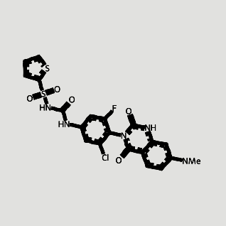 CNc1ccc2c(=O)n(-c3c(F)cc(NC(=O)NS(=O)(=O)c4cccs4)cc3Cl)c(=O)[nH]c2c1